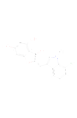 Cn1cc(/C=C2/Oc3cc(O)cc(O)c3C2=O)c2cccc(Br)c21